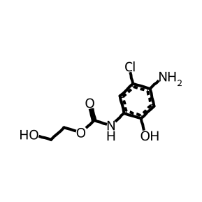 Nc1cc(O)c(NC(=O)OCCO)cc1Cl